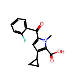 Cn1c(C(=O)c2ccccc2F)cc(C2CC2)c1C(=O)O